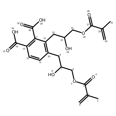 C=C(C)C(=O)OCC(O)Cc1ccc(C(=O)O)c(C(=O)O)c1CC(O)COC(=O)C(=C)C